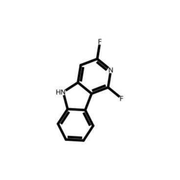 Fc1cc2[nH]c3ccccc3c2c(F)n1